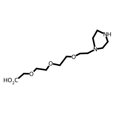 O=C(O)COCCOCCOCCN1CCNCC1